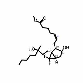 CCCCCC(C)(O)CC[C@]12[C@@H](C/C=C\CCCC(=O)OC)[C@@H](O)C[C@H]1C2(F)F